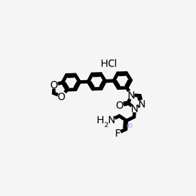 Cl.NC/C(=C\F)Cn1ncn(-c2cccc(-c3ccc(-c4ccc5c(c4)OCO5)cc3)c2)c1=O